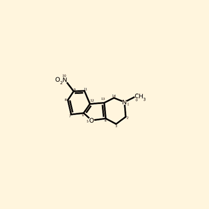 CN1CCc2oc3ccc([N+](=O)[O-])cc3c2C1